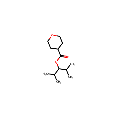 CC(C)C(OC(=O)C1CCOCC1)C(C)C